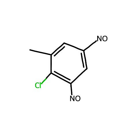 Cc1cc(N=O)cc(N=O)c1Cl